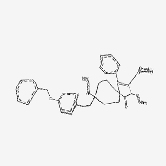 N=NC1=C(c2ccccc2)C2(CCC(Cc3ccc(OCc4ccccc4)cc3)(N=N)CC2)C(=O)C1N=N